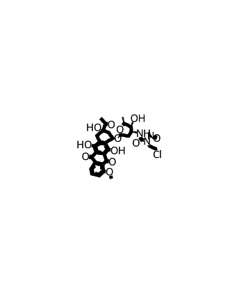 COc1cccc2c1C(=O)c1c(O)c3c(c(O)c1C2=O)C[C@@](O)(C(C)=O)C[C@@H]3O[C@H]1C[C@H](NC(=O)N(CCCl)N=O)[C@H](O)[C@H](C)O1